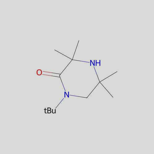 CC1(C)CN(C(C)(C)C)C(=O)C(C)(C)N1